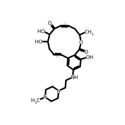 CC1C/C=C\C(=O)C(O)C(O)C/C=C/c2cc(NCCN3CCN(C)CC3)cc(O)c2C(=O)O1